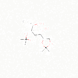 CC1(C)O[C@@H]([C@H](O)[C@H]2COC(C)(C)O2)[C@@H]([C@H](O)C(F)(F)F)O1